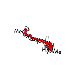 CN[C@@H](C)C(=O)NC(C(=O)N1CCC[C@H]1C(=O)Nc1sc(NC(=O)COCCOCCOCCOCCOCCOCCN(C)C(=O)Cc2cccc(CNC(=O)c3cc(/C=C/c4ccc(Cl)cc4)c(OC)cn3)c2)nc1-c1ccccc1)C1CCCCC1